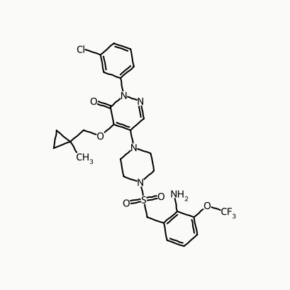 CC1(COc2c(N3CCN(S(=O)(=O)Cc4cccc(OC(F)(F)F)c4N)CC3)cnn(-c3cccc(Cl)c3)c2=O)CC1